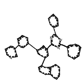 c1ccc(-c2nc(-c3ccccc3)nc(-c3cc(-c4cccc(-c5cccnc5)c4)cc(-c4cccc5ccccc45)c3)n2)cc1